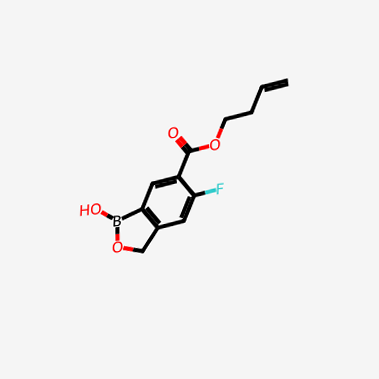 C=CCCOC(=O)c1cc2c(cc1F)COB2O